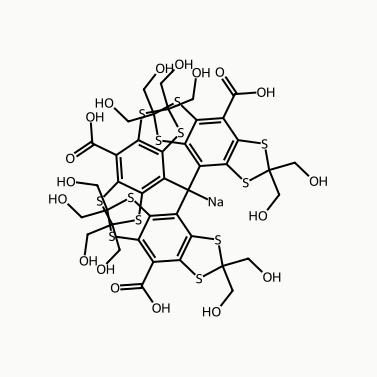 O=C(O)c1c2c(c([C]([Na])(c3c4c(c(C(=O)O)c5c3SC(CO)(CO)S5)SC(CO)(CO)S4)c3c4c(c(C(=O)O)c5c3SC(CO)(CO)S5)SC(CO)(CO)S4)c3c1SC(CO)(CO)S3)SC(CO)(CO)S2